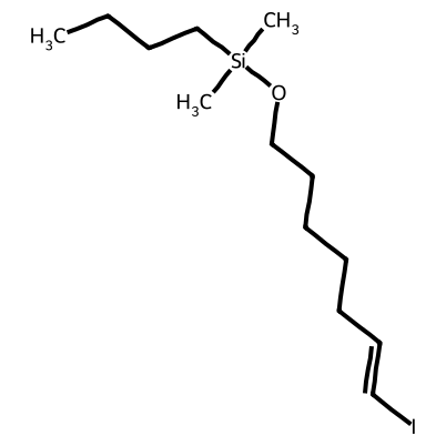 CCCC[Si](C)(C)OCCCCC/C=C/I